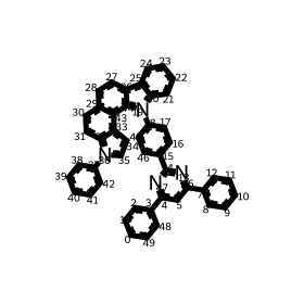 c1ccc(-c2cc(-c3ccccc3)nc(-c3ccc(-n4c5ccccc5c5ccc6ccc7c(ccn7-c7ccccc7)c6c54)cc3)n2)cc1